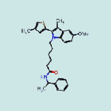 COc1ccc2c(c1)c(C)c(-c1cc(C)cs1)n2CCCCCC(=O)NC(C)c1ccccc1